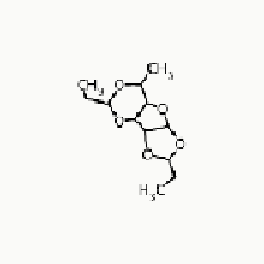 CCC1OC2OC3C(C)OC(CC)OC3C2O1